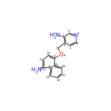 Nc1cnccc1COc1ccc(N)c2ccccc12